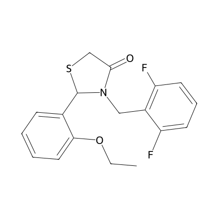 CCOc1ccccc1C1SCC(=O)N1Cc1c(F)cccc1F